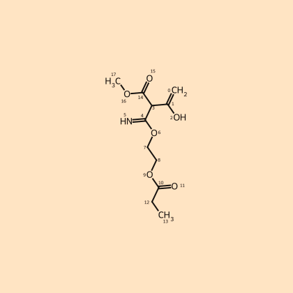 C=C(O)C(C(=N)OCCOC(=O)CC)C(=O)OC